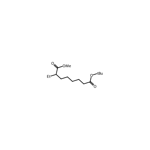 CCC(CCCCCC(=O)OC(C)(C)C)C(=O)OC